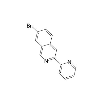 Brc1ccc2cc(-c3ccccn3)ncc2c1